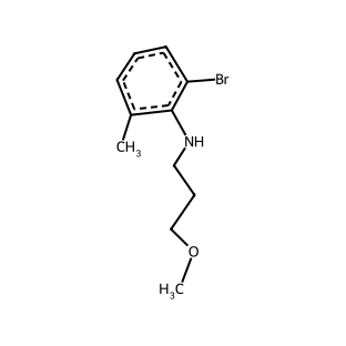 COCCCNc1c(C)cccc1Br